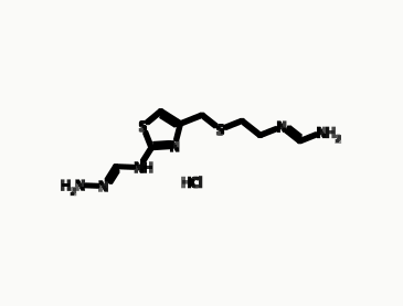 Cl.NC=NCCSCc1csc(NC=NN)n1